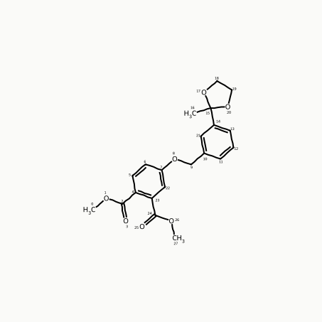 COC(=O)c1ccc(OCc2cccc(C3(C)OCCO3)c2)cc1C(=O)OC